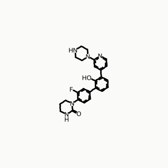 O=C1NCCCN1c1ccc(-c2cccc(-c3ccnc(N4CCNCC4)c3)c2O)cc1F